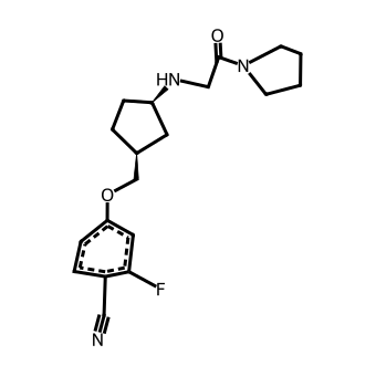 N#Cc1ccc(OC[C@H]2CC[C@@H](NCC(=O)N3CCCC3)C2)cc1F